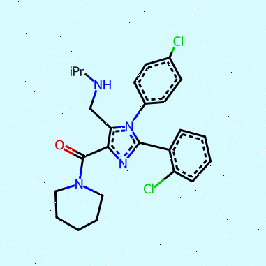 CC(C)NCc1c(C(=O)N2CCCCC2)nc(-c2ccccc2Cl)n1-c1ccc(Cl)cc1